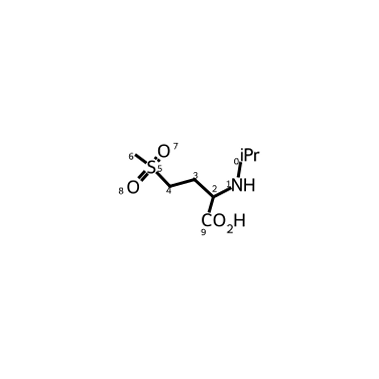 CC(C)NC(CCS(C)(=O)=O)C(=O)O